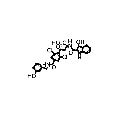 O=C(NCc1cccc(O)c1)c1cc(Cl)c(C(=O)C[C@H](NC(=O)c2[nH]c3ccccc3c2O)C(=O)O)c(Cl)c1